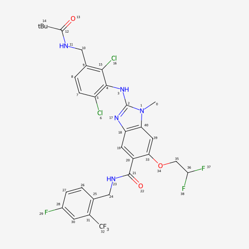 Cn1c(Nc2c(Cl)ccc(CNC(=O)C(C)(C)C)c2Cl)nc2cc(C(=O)NCc3ccc(F)cc3C(F)(F)F)c(OCC(F)F)cc21